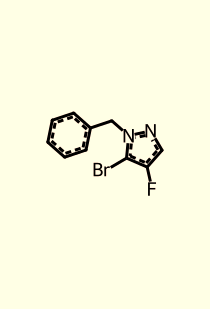 Fc1cnn(Cc2ccccc2)c1Br